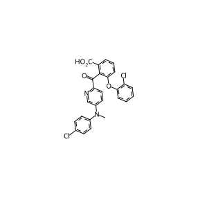 CN(c1ccc(Cl)cc1)c1ccc(C(=O)c2c(Oc3ccccc3Cl)cccc2C(=O)O)nc1